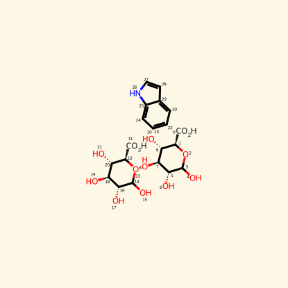 O=C(O)[C@H]1OC(O)[C@H](O)[C@@H](O)[C@@H]1O.O=C(O)[C@H]1OC(O)[C@H](O)[C@@H](O)[C@@H]1O.c1ccc2[nH]ccc2c1